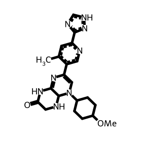 COC1CCC(N2C=C(c3cnc(-c4nc[nH]n4)cc3C)N=C3NC(=O)CNC32)CC1